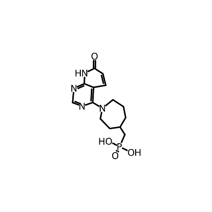 O=c1ccc2c(N3CCCC(CP(=O)(O)O)CC3)ncnc2[nH]1